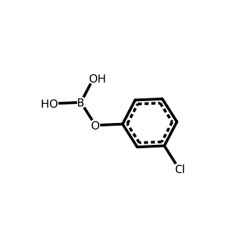 OB(O)Oc1cccc(Cl)c1